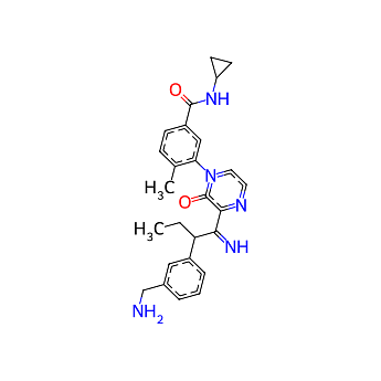 CCC(C(=N)c1nccn(-c2cc(C(=O)NC3CC3)ccc2C)c1=O)c1cccc(CN)c1